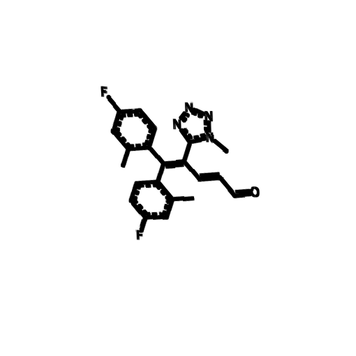 Cc1cc(F)ccc1C(=C(C=CC=O)c1nnnn1C)c1ccc(F)cc1C